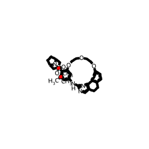 CC(C)(C)OC(=O)N1C2CCC1CN(c1ccc3cc1OCCOCCOc1ccc4c(c1)-c1nc(ncc1CC4)N3)C2